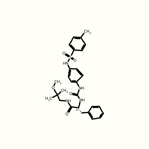 COC(C)(C)CNC(=O)[C@@H](Cc1ccccc1)NC(=O)Nc1ccc(NS(=O)(=O)c2ccc(C)cc2)cc1